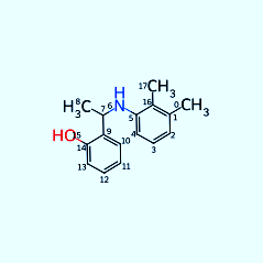 Cc1cccc(NC(C)c2ccccc2O)c1C